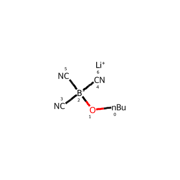 CCCCO[B-](C#N)(C#N)C#N.[Li+]